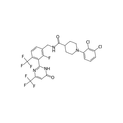 O=C(NCc1ccc(C(F)(F)F)c(-c2nc(C(F)(F)F)cc(=O)[nH]2)c1F)C1CCN(c2cccc(Cl)c2Cl)CC1